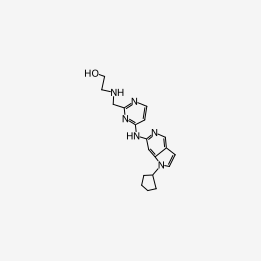 OCCNCc1nccc(Nc2cc3c(ccn3C3CCCC3)cn2)n1